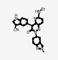 CCNc1ccc2nn(-c3ccc4nn(C)cc4c3)c(=O)c(-c3ccc4[nH]cc(C#N)c4c3)c2n1